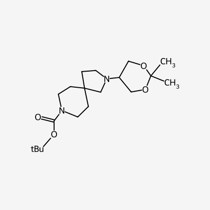 CC(C)(C)OC(=O)N1CCC2(CC1)CCN(C1COC(C)(C)OC1)C2